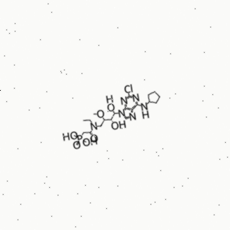 CCN(C[C@@H](OC)[C@@H](O)[C@@H](O)n1cnc2c(NC3CCCC3)nc(Cl)nc21)C(=O)CP(=O)(O)O